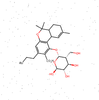 CCC(C)CCc1cc2c(c(O[C@H]3O[C@H](O)[C@@H](O)[C@H](O)[C@H]3CO)c1C(=O)O)C1C=C(C)CCC1C(C)(C)O2